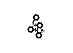 Brc1ccccc1N1c2ccccc2N(Cc2ccccc2)c2ccccc21